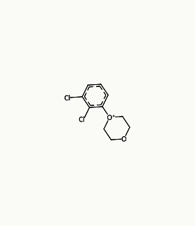 Clc1cccc([O+]2CCOCC2)c1Cl